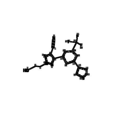 N#Cc1nn(CCO)nc1-c1cc(-c2ccsc2)cc(C(F)(F)F)c1